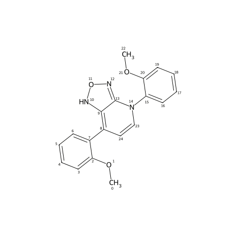 COc1ccccc1C1=C2NON=C2N(c2ccccc2OC)C=C1